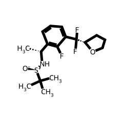 C[C@@H](N[S@+]([O-])C(C)(C)C)c1cccc(C(F)(F)[C@@H]2CCCO2)c1F